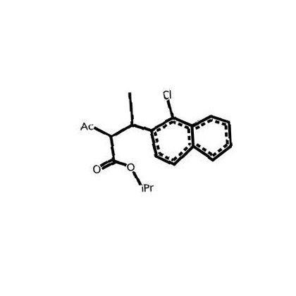 CC(=O)C(C(=O)OC(C)C)C(C)c1ccc2ccccc2c1Cl